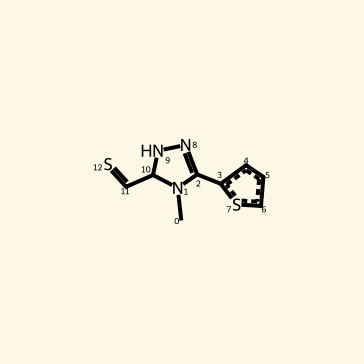 CN1C(c2cccs2)=NNC1C=S